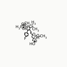 CCOCOC(/C=C/c1c(-c2ccc(F)cc2)nc(N(C)S(C)(=O)=O)nc1C(C)C)CC(O)CC(=O)O